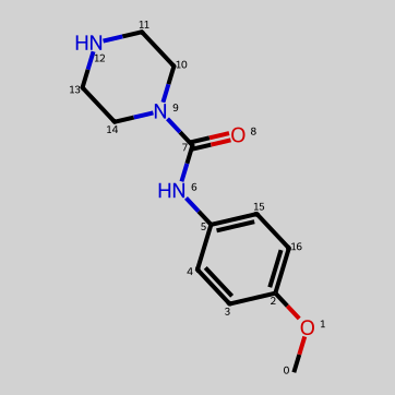 COc1ccc(NC(=O)N2CCNCC2)cc1